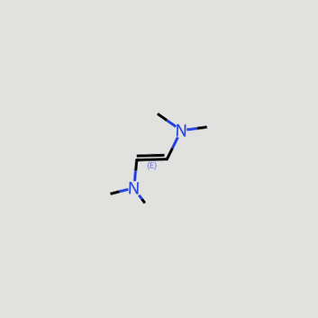 CN(C)/C=C/N(C)C